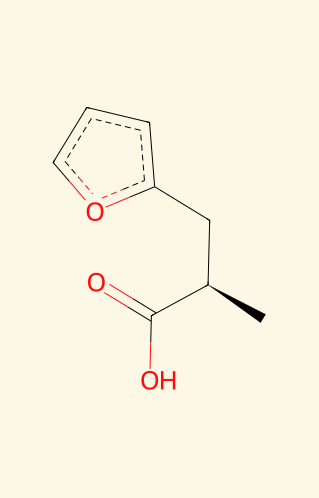 C[C@H](Cc1ccco1)C(=O)O